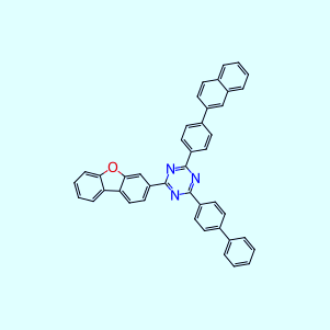 c1ccc(-c2ccc(-c3nc(-c4ccc(-c5ccc6ccccc6c5)cc4)nc(-c4ccc5c(c4)oc4ccccc45)n3)cc2)cc1